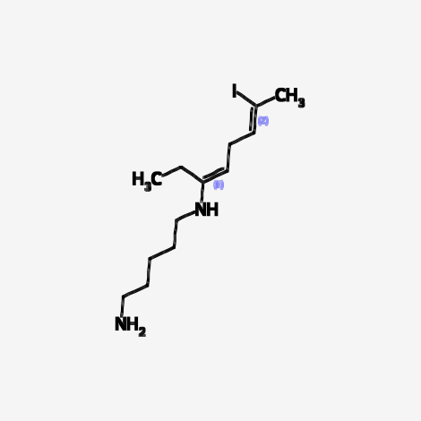 CC/C(=C\C/C=C(/C)I)NCCCCCN